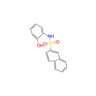 O=S(=O)(Nc1cc[c]cc1O)c1ccc2ccccc2c1